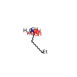 CC/C=C\CCCCCCCCC/C=C\CCCCCC(O)(C[N+](C)(C)C)P(=O)(O)O